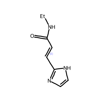 CCNC(=O)/C=C/c1ncc[nH]1